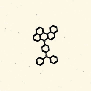 c1ccc(N(c2ccccc2)c2ccc(N3c4ccc5ccccc5c4-c4cccc5cccc3c45)cc2)cc1